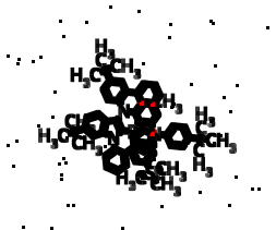 Cc1cc2c3c(c1)N(c1ccc(C(C)(C)C)cc1-c1ccccc1)c1c(n(-c4ccccc4-c4ccccc4)c4cc(C(C)(C)C)ccc14)B3c1ccc([Si](C)(C)C)cc1N2c1ccc(C(C)(C)C)cc1